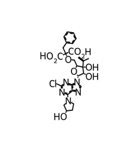 C=C(C)[C@@]1(O)C(COC(Cc2ccccc2)(C(=O)O)C(=O)O)O[C@@H](n2cnc3c(N4CC[C@@H](O)C4)nc(Cl)nc32)[C@@H]1O